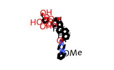 COc1ccccc1N1CCN(C(=O)[C@@]2(C)CC[C@]3(C)CC[C@]4(C)C(=CC[C@@H]5[C@@]6(C)CC[C@H](O[C@@H]7O[C@H](CO)[C@@H](O)[C@H](O)[C@H]7O)C(C)(C)[C@@H]6CC[C@]54C)[C@@H]3C2)CC1